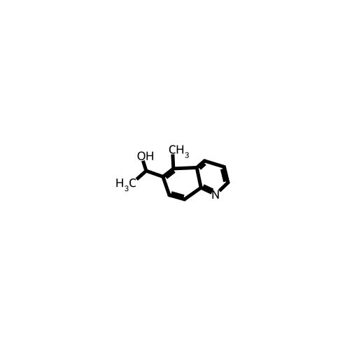 Cc1c(C(C)O)ccc2ncccc12